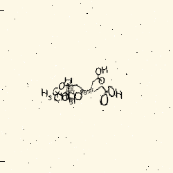 CC1(C)O[C@H]2O[C@H]([C@@H](CCC(=O)O)CC(=O)O)C[C@H]2O1